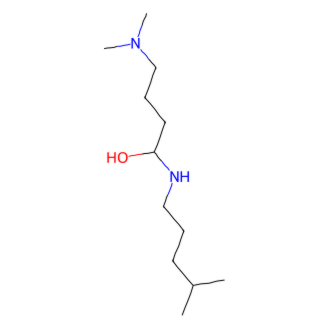 CC(C)CCCNC(O)CCCN(C)C